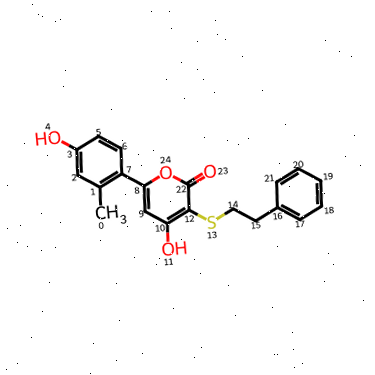 Cc1cc(O)ccc1-c1cc(O)c(SCCc2ccccc2)c(=O)o1